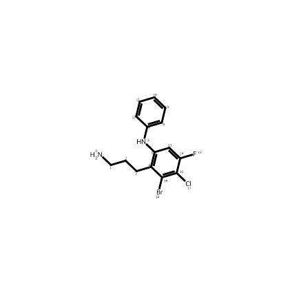 NCCCc1c(Nc2ccccc2)cc(F)c(Cl)c1Br